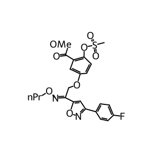 CCCO/N=C(\COc1ccc(OS(C)(=O)=O)c(C(=O)OC)c1)c1cc(-c2ccc(F)cc2)no1